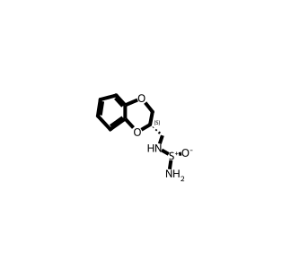 N[S+]([O-])NC[C@H]1COc2ccccc2O1